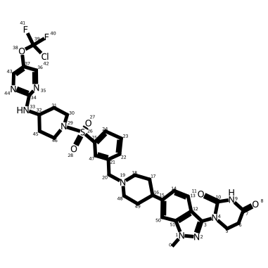 Cn1nc(N2CCC(=O)NC2=O)c2ccc(C3CCN(Cc4cccc(S(=O)(=O)N5CCC(Nc6ncc(OC(F)(F)Cl)cn6)CC5)c4)CC3)cc21